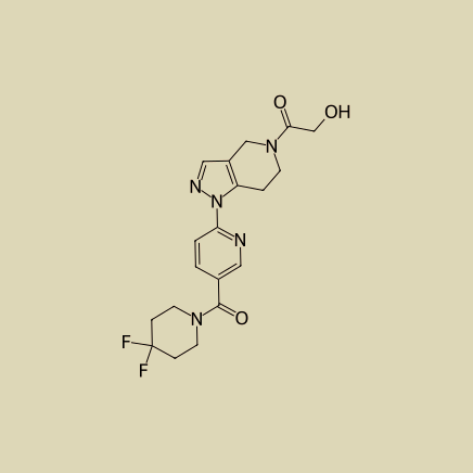 O=C(CO)N1CCc2c(cnn2-c2ccc(C(=O)N3CCC(F)(F)CC3)cn2)C1